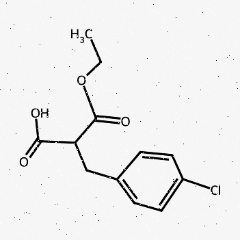 CCOC(=O)C(Cc1ccc(Cl)cc1)C(=O)O